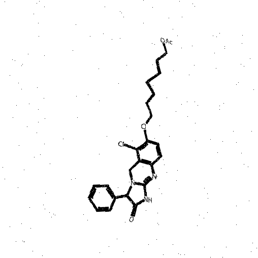 CC(=O)OCCCCCCCOc1ccc2c(c1Cl)CN1C(=N2)NC(=O)C1c1ccccc1